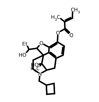 C/C=C(\C)C(=O)Oc1ccc2c3c1OC(C(O)CC)C31CCN(CC3CCC3)C(C2)C1(C)O